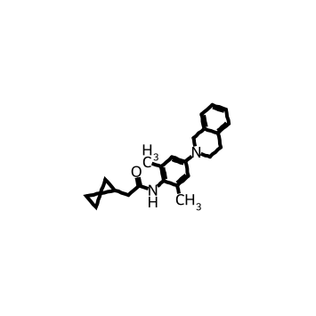 Cc1cc(N2CCc3ccccc3C2)cc(C)c1NC(=O)CC1CC12CC2